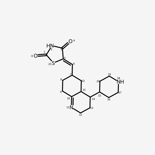 O=C1NC(=O)/C(=C/C2CCC3=NCCC(C4CCNCC4)C3C2)S1